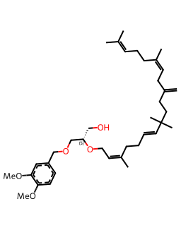 C=C(CC=C(C)CCC=C(C)C)CCC(C)(C)C=CCCC(C)=CCO[C@@H](CO)COCc1ccc(OC)c(OC)c1